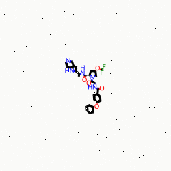 CC(NC(=O)[C@@H]1C[C@@H](OC(F)F)CN1C(=O)CNC(=O)c1ccc(Oc2ccccc2)cc1)c1cc2cnccc2[nH]1